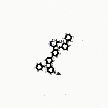 C=Cc1c(/C=C\C)c2cc(-c3ccc4c(c3)c3cc(C(C)(C)C)ccc3n4-c3ccccc3)ccc2n1-c1cccc(-c2ccccc2)c1